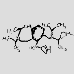 CC(C)N(Cc1cccc(CN(C(C)C)C(C)C)c1B(O)O)C(C)C